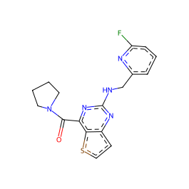 O=C(c1nc(NCc2cccc(F)n2)nc2ccsc12)N1CCCC1